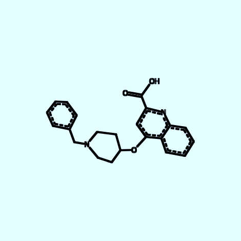 O=C(O)c1cc(OC2CCN(Cc3ccccc3)CC2)c2ccccc2n1